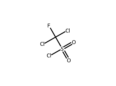 O=S(=O)(Cl)C(F)(Cl)Cl